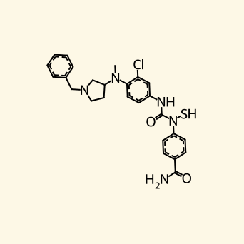 CN(c1ccc(NC(=O)N(S)c2ccc(C(N)=O)cc2)cc1Cl)C1CCN(Cc2ccccc2)C1